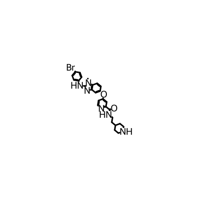 Cn1c(Nc2ccc(Br)cc2)nc2cc(Oc3ccnc(C(=O)NCCC4CCNCC4)c3)ccc21